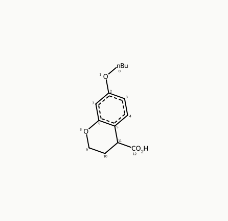 CCCCOc1ccc2c(c1)OCCC2C(=O)O